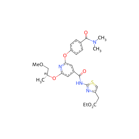 CCOC(=O)Cc1csc(NC(=O)c2cc(Oc3ccc(C(=O)N(C)C)cc3)nc(O[C@H](C)COC)c2)n1